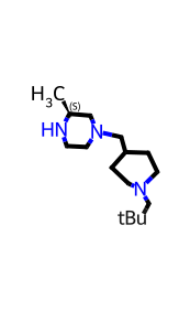 C[C@H]1CN(CC2CCN(CC(C)(C)C)CC2)CCN1